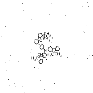 CC1(C)c2ccccc2-c2ccc(N(c3ccc(-c4cccc5c4oc4c([Si](C)(C)C)cccc45)cc3)c3ccc4c(c3)C(C)(C)c3ccccc3-4)cc21